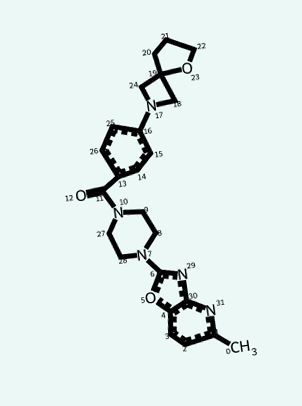 Cc1ccc2oc(N3CCN(C(=O)c4ccc(N5CC6(CCCO6)C5)cc4)CC3)nc2n1